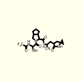 CC(C)(C)C(NC(=O)C(F)(F)F)C(=O)N1CC2CCCC2C1C(=O)NC(C#N)CC1CC2(CC2)NC1=O